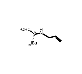 C=CCN[C@H]([C]=O)[C@@H](C)CC